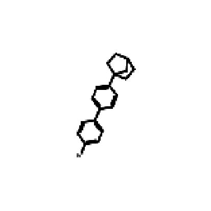 Brc1ccc(-c2ccc(C34CCC(CC3)C4)cc2)cc1